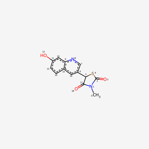 CN1C(=O)SC(c2cnc3cc(O)ccc3c2)C1=O